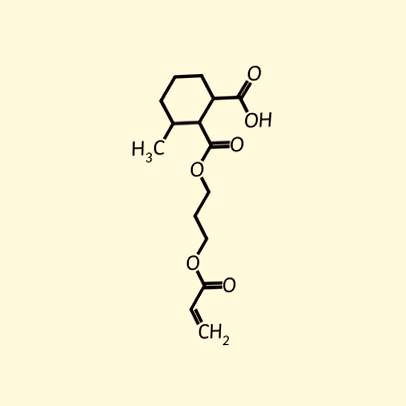 C=CC(=O)OCCCOC(=O)C1C(C)CCCC1C(=O)O